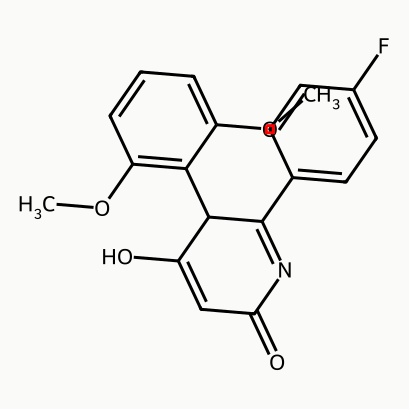 COc1cccc(OC)c1C1C(O)=CC(=O)N=C1c1ccc(F)cc1